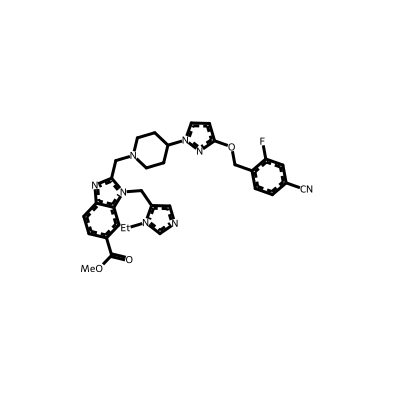 CCn1cncc1Cn1c(CN2CCC(n3ccc(OCc4ccc(C#N)cc4F)n3)CC2)nc2ccc(C(=O)OC)cc21